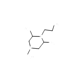 CC(=O)OCCN1C(C)CN(C(=O)O)CC1C